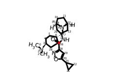 CN(C)[C@H]1CC[C@H](CN2[C@@H]3CC[C@H]2C[C@@H](NC(=O)c2cc(C4CC4)on2)C3)CC1